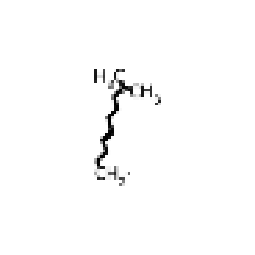 [CH2]CCC=CCCC[C](C)C